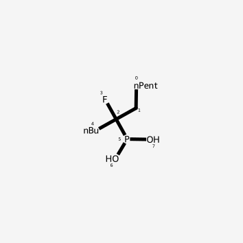 CCCCCCC(F)(CCCC)P(O)O